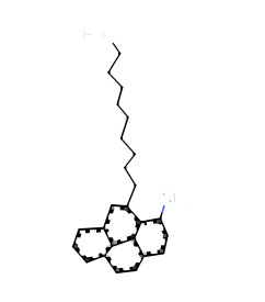 CCCCCCCCCCc1cc2cccc3ccc4ccc(N)c1c4c32